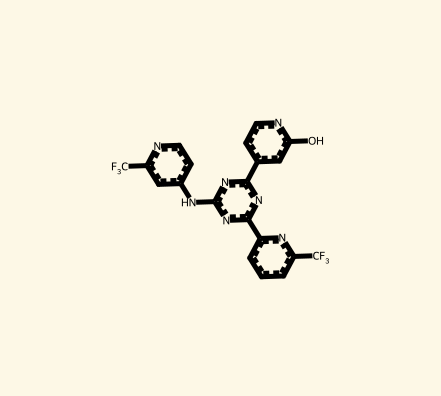 Oc1cc(-c2nc(Nc3ccnc(C(F)(F)F)c3)nc(-c3cccc(C(F)(F)F)n3)n2)ccn1